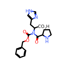 O=C(O)C(Cc1c[nH]cn1)N(C(=O)OCc1ccccc1)C(=O)C1CCCN1